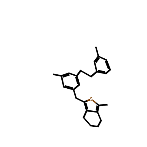 Cc1cccc(CCc2cc(C)cc(Cc3sc(C)c4c3CCCC4)c2)c1